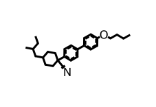 CCCCOc1ccc(-c2ccc(C3(C#N)CCC(CC(C)CC)CC3)cc2)cc1